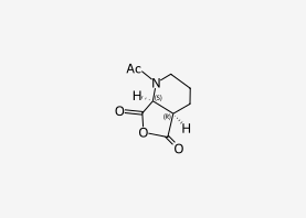 CC(=O)N1CCC[C@H]2C(=O)OC(=O)[C@H]21